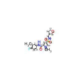 Cc1cc(NC(=O)c2cc(S(=O)(=O)/N=C/C3CCOC3)cn2C)ccc1F